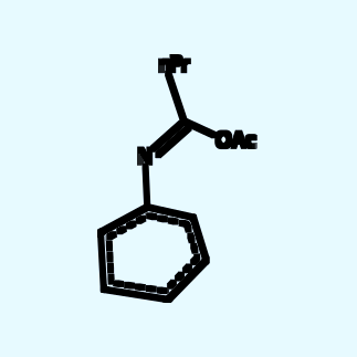 CCCC(=Nc1ccccc1)OC(C)=O